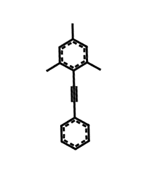 Cc1cc(C)c(C#Cc2ccccc2)c(C)c1